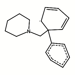 [CH]1C=CC=CC1(CN1CCCCC1)c1ccccc1